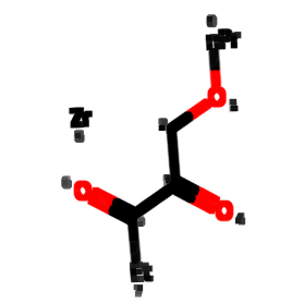 CCCOCC(=O)C(=O)CC.[Zr]